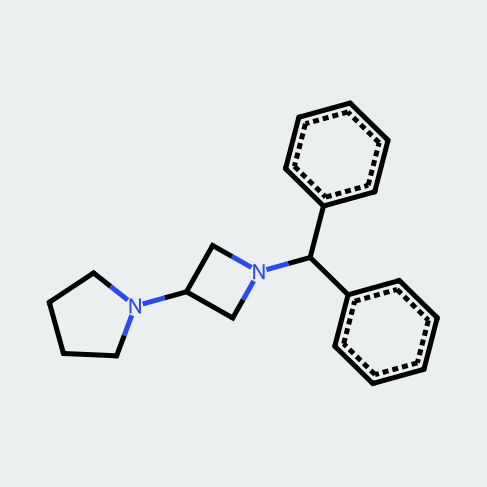 c1ccc(C(c2ccccc2)N2CC(N3CCCC3)C2)cc1